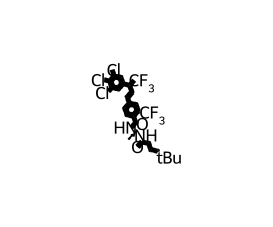 C[C@H](NC(=O)CCCC(C)(C)C)NC(=O)c1ccc(C=CC(c2cc(Cl)c(Cl)c(Cl)c2)C(F)(F)F)cc1C(F)(F)F